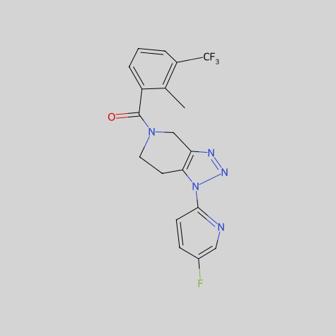 Cc1c(C(=O)N2CCc3c(nnn3-c3ccc(F)cn3)C2)cccc1C(F)(F)F